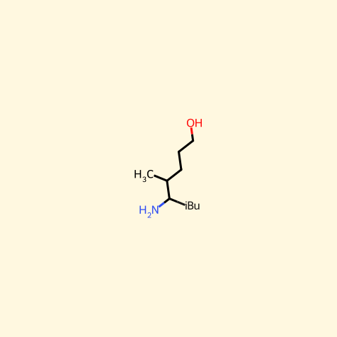 CCC(C)C(N)C(C)CCCO